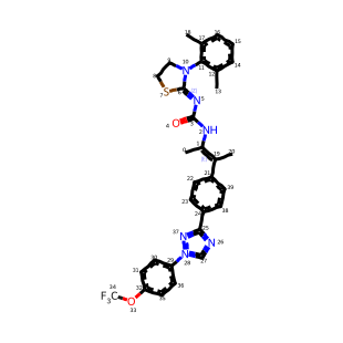 C/C(NC(=O)/N=C1\SCCN1c1c(C)cccc1C)=C(/C)c1ccc(-c2ncn(-c3ccc(OC(F)(F)F)cc3)n2)cc1